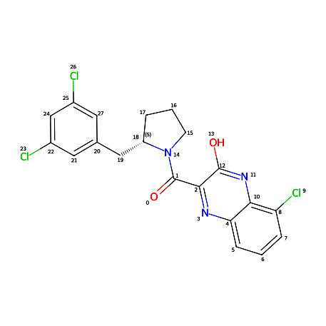 O=C(c1nc2cccc(Cl)c2nc1O)N1CCC[C@H]1Cc1cc(Cl)cc(Cl)c1